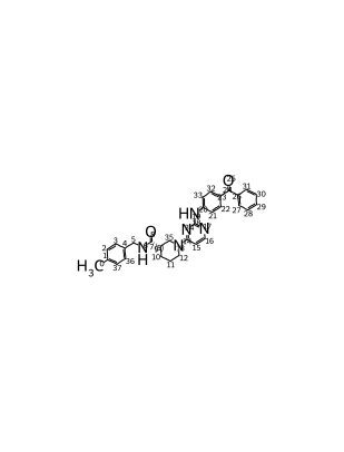 Cc1ccc(CNC(=O)[C@H]2CCCN(c3ccnc(Nc4ccc(C(=O)c5ccccc5)cc4)n3)C2)cc1